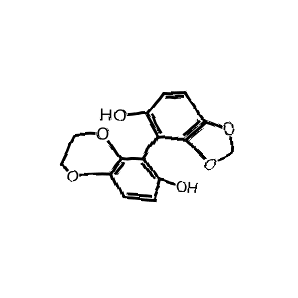 Oc1ccc2c(c1-c1c(O)ccc3c1OCO3)OCCO2